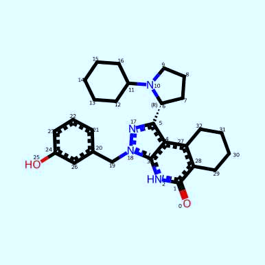 O=c1[nH]c2c(c([C@H]3CCCN3C3CCCCC3)nn2Cc2cccc(O)c2)c2c1CCCC2